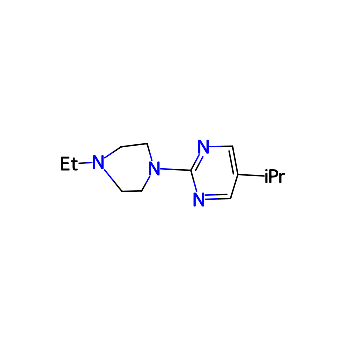 CCN1CCN(c2ncc(C(C)C)cn2)CC1